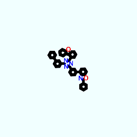 c1ccc(-c2cccc(-c3nc(-c4cccc(-c5cccc6oc(-c7ccccc7)nc56)c4)nc(-c4cccc5oc6ccccc6c45)n3)c2)cc1